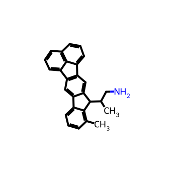 Cc1cccc2c1C(C(C)CN)c1cc3c(cc1-2)-c1cccc2cccc-3c12